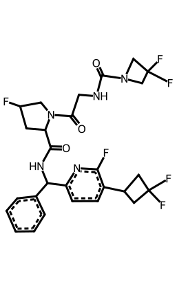 O=C(NC(c1ccccc1)c1ccc(C2CC(F)(F)C2)c(F)n1)C1CC(F)CN1C(=O)CNC(=O)N1CC(F)(F)C1